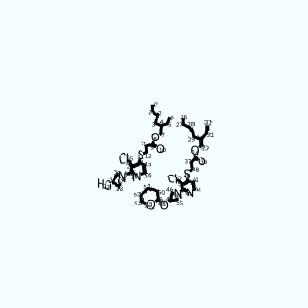 CCCCC(CC)COC(=O)CCSc1ccnc(N2CC(O)C2)c1Cl.CCCCC(CC)COC(=O)CCSc1ccnc(N2CC(OC3CCCCO3)C2)c1Cl